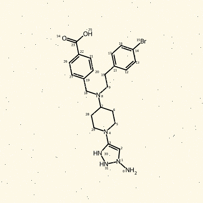 NN1C=C(N2CCC(N(CCc3ccc(Br)cc3)Cc3ccc(C(=O)O)cc3)CC2)NN1